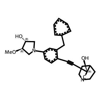 CO[C@@H]1CN(c2ccc(C#C[C@@]3(O)CN4CCC3CC4)c(Cc3ccccc3)c2)C[C@H]1O